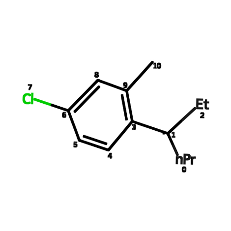 CCC[C](CC)c1ccc(Cl)cc1C